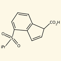 CC(C)S(=O)(=O)c1cccc2c1C=CC2C(=O)O